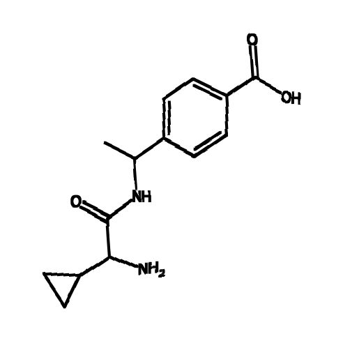 CC(NC(=O)C(N)C1CC1)c1ccc(C(=O)O)cc1